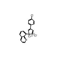 Clc1ccc(C2=C[C]([Cr+2])(c3cccc4cccnc34)C=C2)cc1.[Cl-].[Cl-]